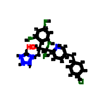 OC(Cn1cnnn1)(c1ccc(F)cc1F)C(F)(F)c1ccc(Cc2ccc(Cl)cc2)cn1